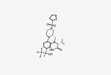 CC(C)[C@@H]1C(=O)NCCN1C[C@H]1CN(S(=O)(=O)c2cccs2)CCN1c1ccc(C(C)(O)C(F)(F)F)cc1